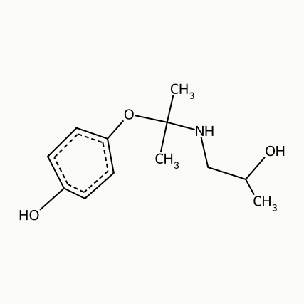 CC(O)CNC(C)(C)Oc1ccc(O)cc1